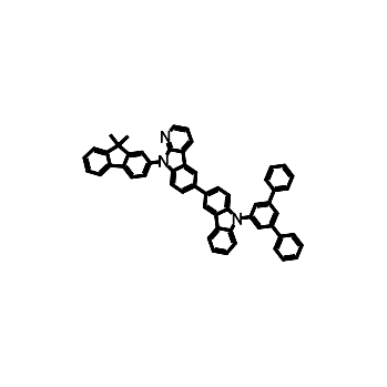 CC1(C)c2ccccc2-c2ccc(-n3c4ccc(-c5ccc6c(c5)c5ccccc5n6-c5cc(-c6ccccc6)cc(-c6ccccc6)c5)cc4c4cccnc43)cc21